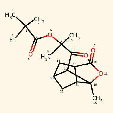 CCC(C)(C)C(=O)OC(C)(C)C(=O)C1C2CC3C(=O)OC1(C)C3C2